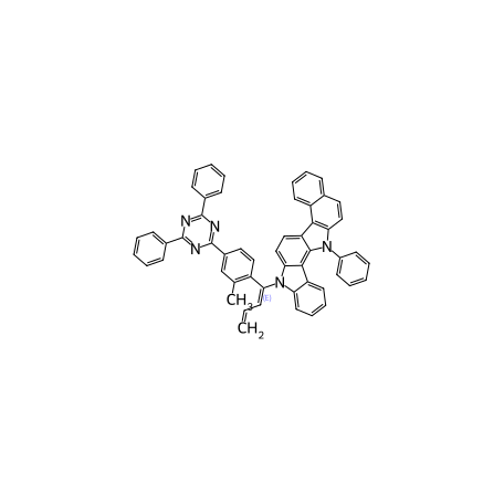 C=C/C=C(\c1ccc(-c2nc(-c3ccccc3)nc(-c3ccccc3)n2)cc1C)n1c2ccccc2c2c1ccc1c3c4ccccc4ccc3n(-c3ccccc3)c12